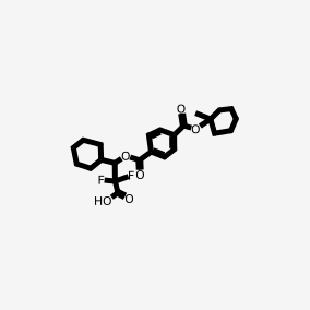 CC1(OC(=O)c2ccc(C(=O)OC(C3CCCCC3)C(F)(F)C(=O)O)cc2)CCCCC1